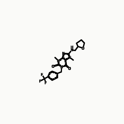 Cn1c(NCC2CCCO2)nc2c1c(=O)n(Cc1ccc(C(F)(F)F)cc1)c(=O)n2C